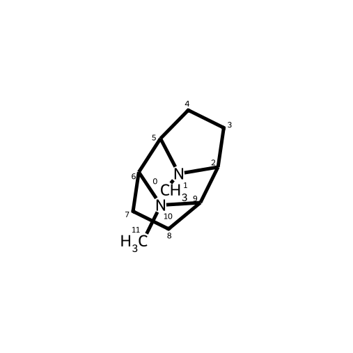 CN1C2CCC1C1CCC2N1C